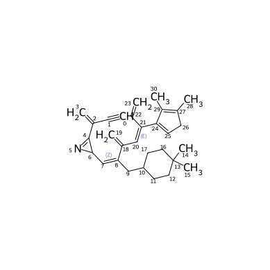 C#CC(=C)C1=NC1/C=C(/CC1CCC(C)(C)CC1)C(=C)/C=C(\C=C)C1=CCC(C)=C1C